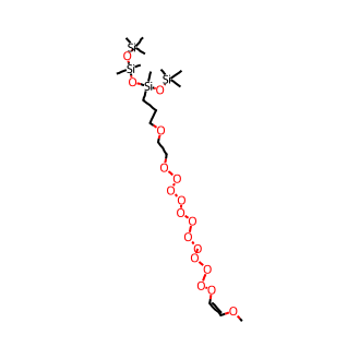 CO/C=C\OOOOOOOOOOOOCCOCCC[Si](C)(O[Si](C)(C)C)O[Si](C)(C)O[Si](C)(C)C